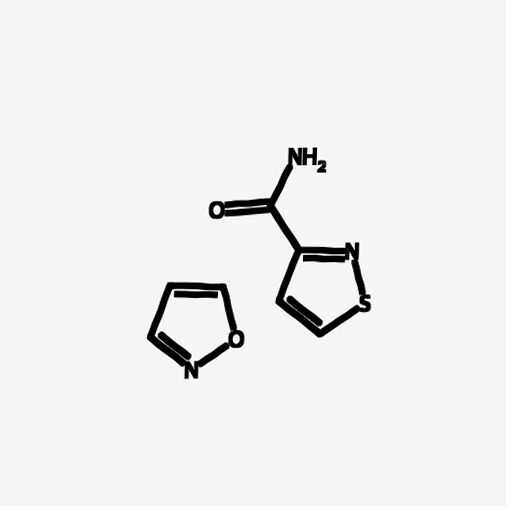 NC(=O)c1ccsn1.c1cnoc1